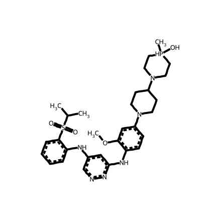 COc1cc(N2CCC(N3CC[PH](C)(O)CC3)CC2)ccc1Nc1cc(Nc2ccccc2S(=O)(=O)C(C)C)cnn1